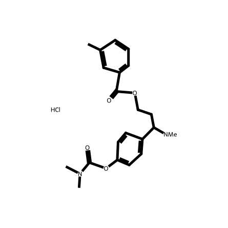 CNC(CCOC(=O)c1cccc(C)c1)c1ccc(OC(=O)N(C)C)cc1.Cl